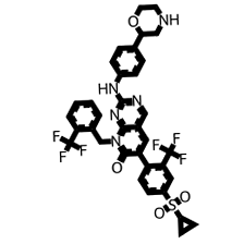 O=c1c(-c2ccc(S(=O)(=O)C3CC3)cc2C(F)(F)F)cc2cnc(Nc3ccc(C4CNCCO4)cc3)nc2n1Cc1ccccc1C(F)(F)F